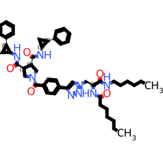 CCCCCCNC(=O)[C@H](Cn1cc(-c2ccc(C(=O)N3C[C@@H](C(=O)NC4C[C@@H]4c4ccccc4)[C@H](C(=O)N[C@H]4C[C@@H]4c4ccccc4)C3)cc2)nn1)NC(=O)CCCCCC